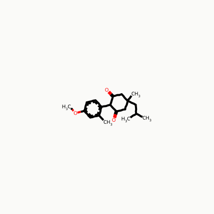 COc1ccc(C2C(=O)CC(C)(CC(C)C)CC2=O)c(C)c1